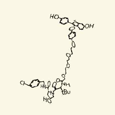 CC(C)(C)C(NC(=O)COCCOCCOCCOc1ccc(Oc2c(-c3ccc(O)cc3)sc3cc(O)ccc23)cc1)C(=O)N1C[C@H](O)C[C@H]1C(=O)NCc1ccc(Cl)cc1